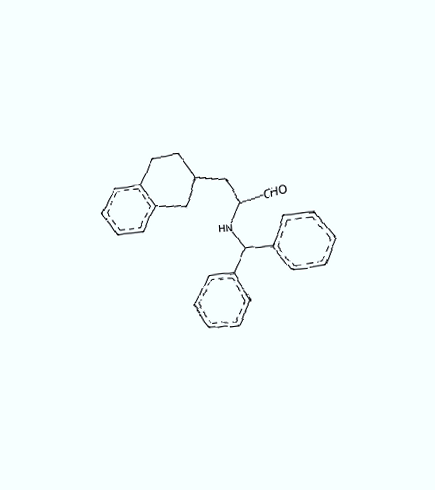 O=CC(CC1CCc2ccccc2C1)NC(c1ccccc1)c1ccccc1